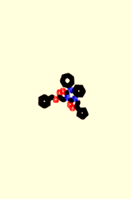 O=C(CN1C(=O)N(CC(=O)C2CCCC2)c2ccccc2N(C2CCCCCC2)C1=O)OCc1ccccc1